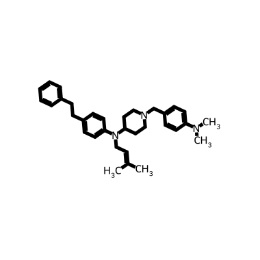 CC(C)=CCN(c1ccc(CCc2ccccc2)cc1)C1CCN(Cc2ccc(N(C)C)cc2)CC1